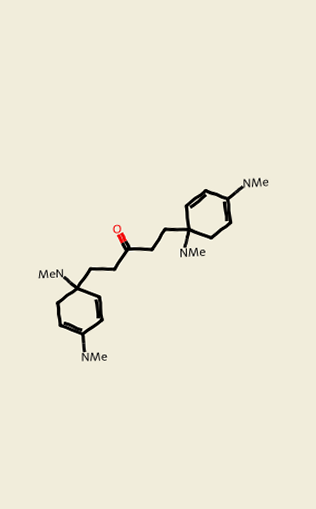 CNC1=CCC(CCC(=O)CCC2(NC)C=CC(NC)=CC2)(NC)C=C1